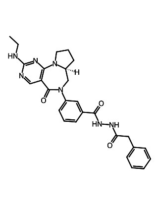 CCNc1ncc2c(n1)N1CCC[C@H]1CN(c1cccc(C(=O)NNC(=O)Cc3ccccc3)c1)C2=O